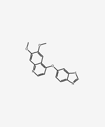 COc1cc2nccc(Oc3ccc4n[c]sc4c3)c2cc1OC